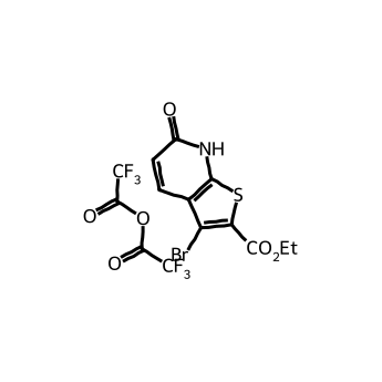 CCOC(=O)c1sc2[nH]c(=O)ccc2c1Br.O=C(OC(=O)C(F)(F)F)C(F)(F)F